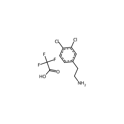 NCCc1ccc(Cl)c(Cl)c1.O=C(O)C(F)(F)F